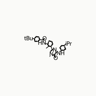 Cc1c(NC(=O)c2ccc(C(C)(C)C)cc2)cccc1-c1cn(C)c(=O)c(Nc2ccc(C(C)C)cc2)n1